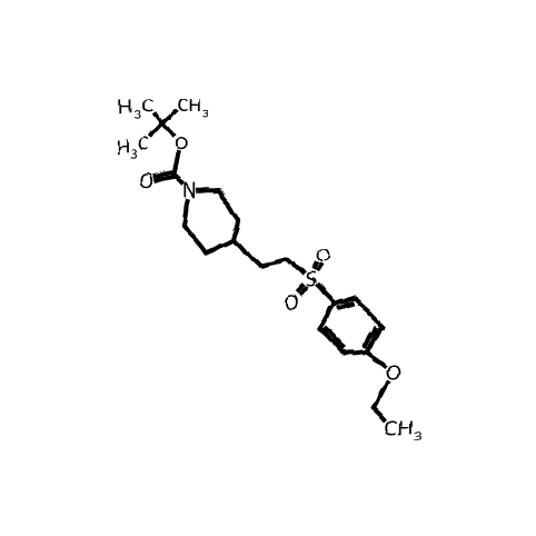 CCOc1ccc(S(=O)(=O)CCC2CCN(C(=O)OC(C)(C)C)CC2)cc1